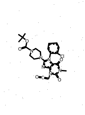 Cn1c(=O)c2c(nc(N3CCN(C(=O)OC(C)(C)C)CC3)n2-c2ccccc2Cl)n(C=C=O)c1=O